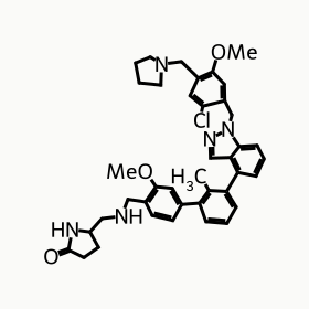 COc1cc(-c2cccc(-c3cccc4c3cnn4Cc3cc(OC)c(CN4CCCC4)cc3Cl)c2C)ccc1CNCC1CCC(=O)N1